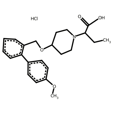 CCC(C(=O)O)N1CCC(OCc2ccccc2-c2ccc(OC)cc2)CC1.Cl